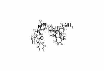 CC[C@@]1(C(=O)NC2CCCCC2)CCN(c2cc(-c3c[nH]c(C(=O)Nc4cccc(F)c4N4CCC(CN)CC4)n3)nc(C)n2)C1